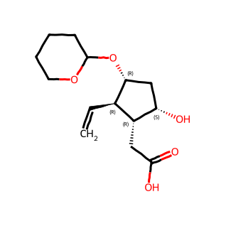 C=C[C@@H]1[C@@H](CC(=O)O)[C@@H](O)C[C@H]1OC1CCCCO1